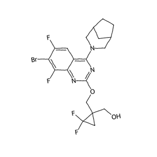 OCC1(COc2nc(N3CC4CCC(C4)C3)c3cc(F)c(Br)c(F)c3n2)CC1(F)F